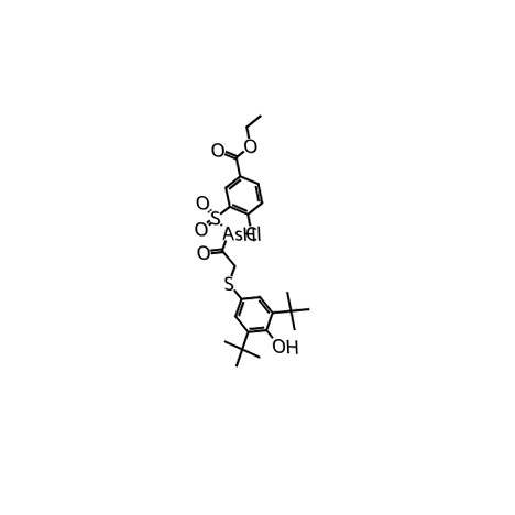 CCOC(=O)c1ccc(Cl)c(S(=O)(=O)[AsH]C(=O)CSc2cc(C(C)(C)C)c(O)c(C(C)(C)C)c2)c1